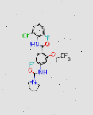 CC(Oc1cc(NC(=O)N2CCCC2)c(F)cc1C(=O)Nc1c(F)cccc1Cl)C(F)(F)F